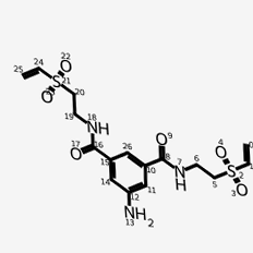 C=CS(=O)(=O)CCNC(=O)c1cc(N)cc(C(=O)NCCS(=O)(=O)C=C)c1